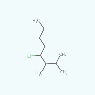 CCCCC(Cl)C(C)C(C)C